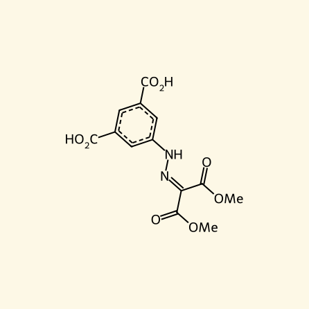 COC(=O)C(=NNc1cc(C(=O)O)cc(C(=O)O)c1)C(=O)OC